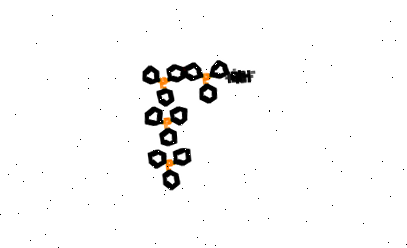 [H-].[K].[Rh].[Rh].c1ccc(P(c2ccccc2)c2ccccc2)cc1.c1ccc(P(c2ccccc2)c2ccccc2)cc1.c1ccc(P(c2ccccc2)c2ccccc2)cc1.c1ccc(P(c2ccccc2)c2ccccc2)cc1